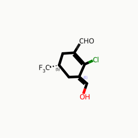 O=CC1=C(Cl)/C(=C/O)C[C@H](C(F)(F)F)C1